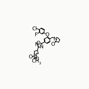 CS(=O)(=O)N1CC(c2noc(-c3ccc(CN4CCCC4=O)c(Oc4ccc(Cl)c(F)c4)c3)n2)C1